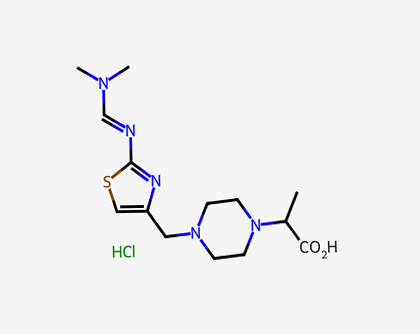 CC(C(=O)O)N1CCN(Cc2csc(/N=C/N(C)C)n2)CC1.Cl